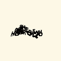 Cc1cn([C@H]2CC[C@@](F)(COP(=O)(O)OP(=O)(O)O)O2)c(=S)[nH]c1=O